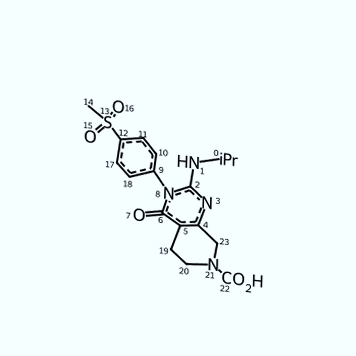 CC(C)Nc1nc2c(c(=O)n1-c1ccc(S(C)(=O)=O)cc1)CCN(C(=O)O)C2